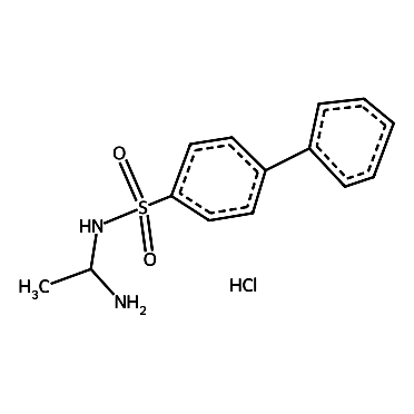 CC(N)NS(=O)(=O)c1ccc(-c2ccccc2)cc1.Cl